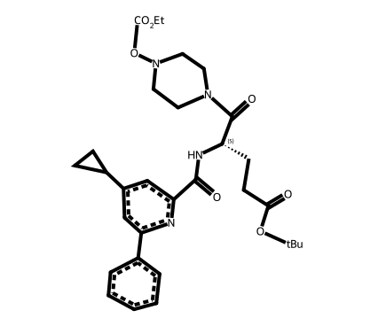 CCOC(=O)ON1CCN(C(=O)[C@H](CCC(=O)OC(C)(C)C)NC(=O)c2cc(C3CC3)cc(-c3ccccc3)n2)CC1